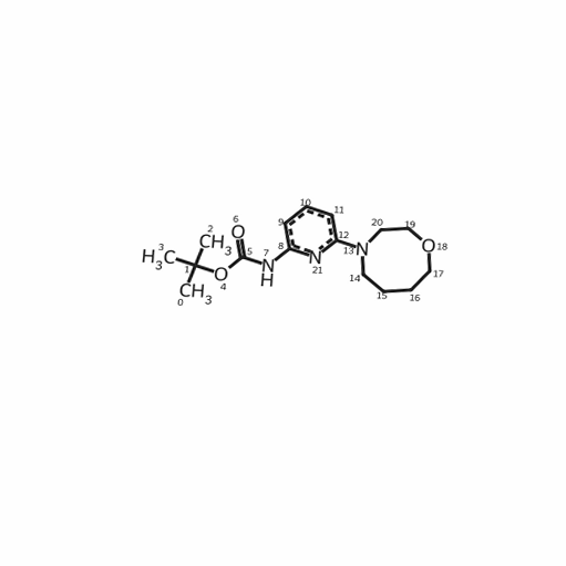 CC(C)(C)OC(=O)Nc1cccc(N2CCCCOCC2)n1